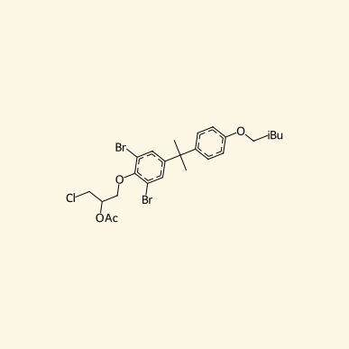 CCC(C)COc1ccc(C(C)(C)c2cc(Br)c(OCC(CCl)OC(C)=O)c(Br)c2)cc1